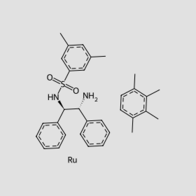 Cc1cc(C)cc(S(=O)(=O)N[C@H](c2ccccc2)[C@H](N)c2ccccc2)c1.Cc1ccc(C)c(C)c1C.[Ru]